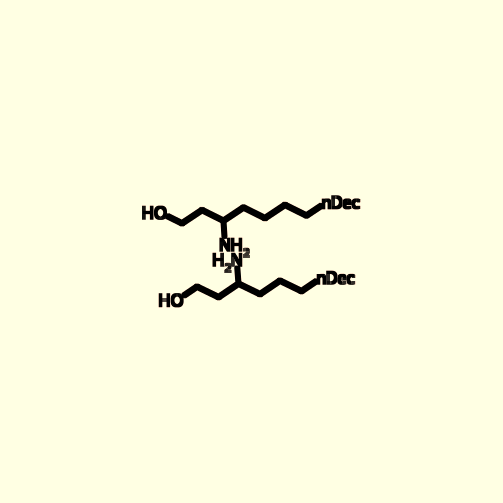 CCCCCCCCCCCCCC(N)CCO.CCCCCCCCCCCCCCC(N)CCO